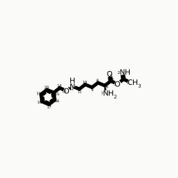 CC(=N)OC(=O)[C@@H](N)CCCCNOCc1ccccc1